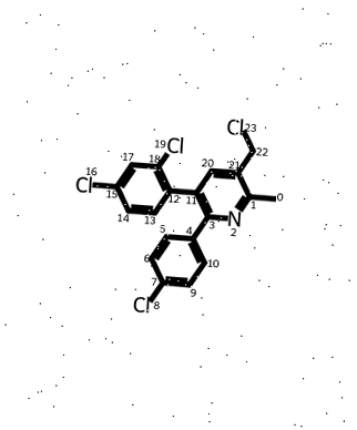 Cc1nc(-c2ccc(Cl)cc2)c(-c2ccc(Cl)cc2Cl)cc1CCl